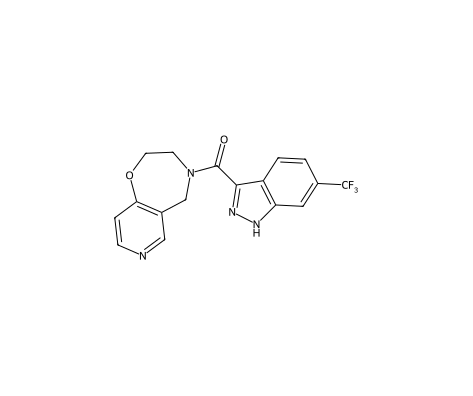 O=C(c1n[nH]c2cc(C(F)(F)F)ccc12)N1CCOc2ccncc2C1